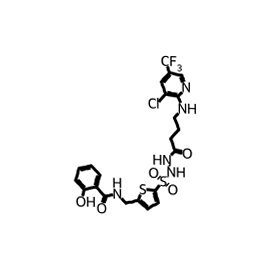 O=C(CCCNc1ncc(C(F)(F)F)cc1Cl)NNS(=O)(=O)c1ccc(CNC(=O)c2ccccc2O)s1